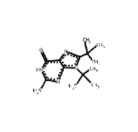 CC(C)(C)c1nc2c(=O)[nH]c(N)nc2n1C(C)(C)C